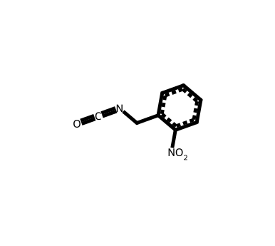 O=C=NCc1ccccc1[N+](=O)[O-]